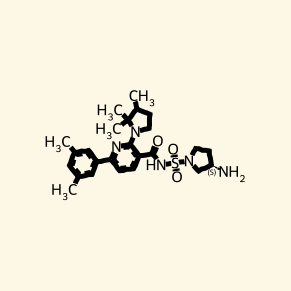 Cc1cc(C)cc(-c2ccc(C(=O)NS(=O)(=O)N3CC[C@H](N)C3)c(N3CCC(C)C3(C)C)n2)c1